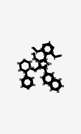 CCc1cccc(CC)c1-c1nc(-c2ccc3ccccc3c2)c(CN2CCCCC2c2ccccc2)n1CC